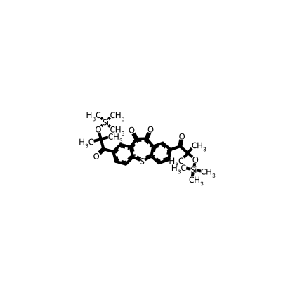 CC(C)(O[Si](C)(C)C)C(=O)c1ccc2sc3ccc(C(=O)C(C)(C)O[Si](C)(C)C)cc3c(=O)c(=O)c2c1